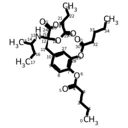 CCCCC(=O)Oc1ccc(C[C@](NC(C)CC)(OC(=O)CCC)C(=O)O)cc1OC(=O)CCCC